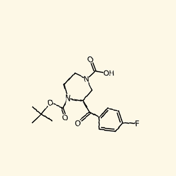 CC(C)(C)OC(=O)N1CCN(C(=O)O)CC1C(=O)c1ccc(F)cc1